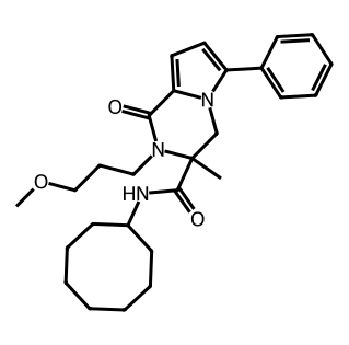 COCCCN1C(=O)c2ccc(-c3ccccc3)n2CC1(C)C(=O)NC1CCCCCCC1